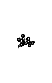 CCC1(CC)c2ccccc2-c2c1c1c(c3ccccc23)OC(c2ccc(F)cc2)(c2nc(-c3ccccc3)c3ccccc3n2)C=C1